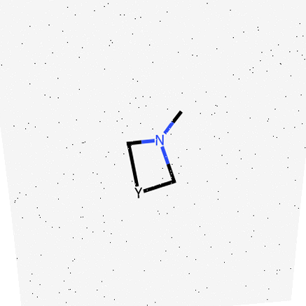 CN1[CH2][Y][CH2]1